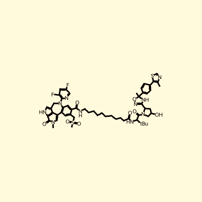 Cc1ncsc1-c1ccc(C2(C)NC(C3CC(O)CN3C(=O)C(NC(=O)CCCCCCCCCCNC(=O)c3cc4c(cc3CS(C)(=O)=O)-c3cn(C)c(=O)c5[nH]cc(c35)CN4c3ncc(F)cc3F)C(C)(C)C)=NO2)cc1